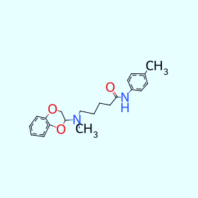 Cc1ccc(NC(=O)CCCCN(C)C2COc3ccccc3O2)cc1